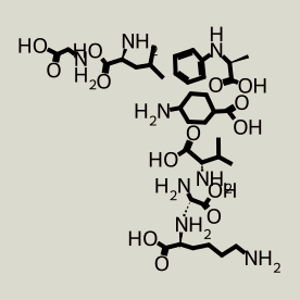 CC(C)C[C@H](N)C(=O)O.CC(C)[C@H](N)C(=O)O.C[C@H](N)C(=O)O.C[C@H](Nc1ccccc1)C(=O)O.NC1CCC(C(=O)O)CC1.NCC(=O)O.NCCCC[C@H](N)C(=O)O